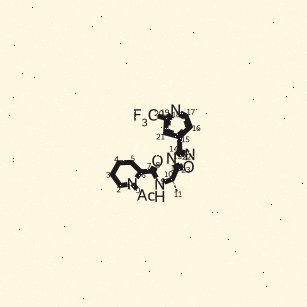 CC(=O)N1CCCCC1C(=O)N[C@@H](C)c1nc(-c2ccnc(C(F)(F)F)c2)no1